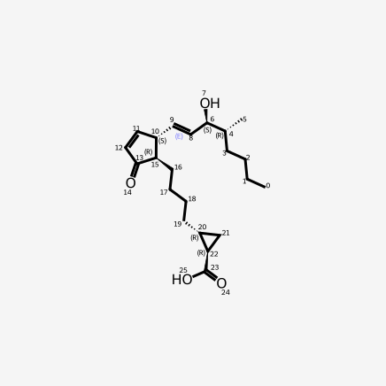 CCCC[C@@H](C)[C@H](O)/C=C/[C@H]1C=CC(=O)[C@@H]1CCCC[C@@H]1C[C@H]1C(=O)O